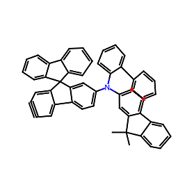 CC1(C)c2ccccc2-c2ccc(N(c3ccc4c(c3)C3(c5cc#ccc5-4)c4ccccc4-c4ccccc43)c3ccccc3-c3ccccc3)cc21